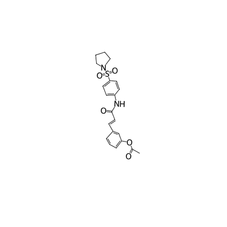 CC(=O)Oc1cccc(C=CC(=O)Nc2ccc(S(=O)(=O)N3CCCC3)cc2)c1